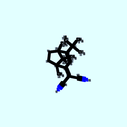 CC(C)(C)C1=CC(=C(C#N)C#N)C2(C)CCC1(C)C2(C)C